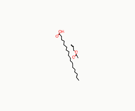 C=CCOC(C)=O.CCCCCCCCCCCCCCCCCC(=O)O